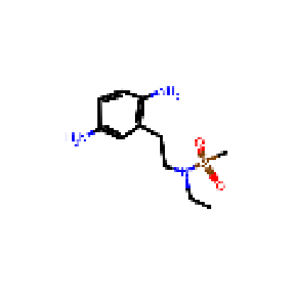 CCN(CCc1cc(N)ccc1N)S(C)(=O)=O